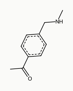 CNCc1ccc(C(C)=O)cc1